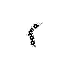 Cc1ccc(Oc2nc3nc(-c4ccc(-c5ccc(C#N)cc5)cc4)c(Cl)cc3[nH]2)cc1C(=O)O